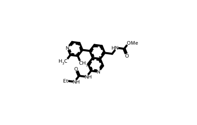 CCNC(=O)Nc1cc2c(-c3ccnc(C)c3C)ccc(CNC(=O)OC)c2cn1